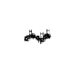 O=C(N[C@H](c1ccc(-c2cnc(NC3Cc4ccccc4C3)nc2)cc1)C(F)(F)F)N1CCc2[nH]nnc2C1